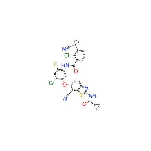 N#Cc1c(Oc2cc(NC(=O)c3cccc(C4(C#N)CC4)c3Cl)c(F)cc2Cl)ccc2nc(NC(=O)C3CC3)sc12